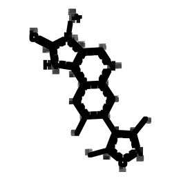 Cc1cc2c(cc1-c1c(C)noc1C)ncc1c2[nH]c(=O)n1C(C)C